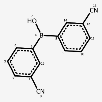 N#Cc1cccc(B(O)c2cccc(C#N)c2)c1